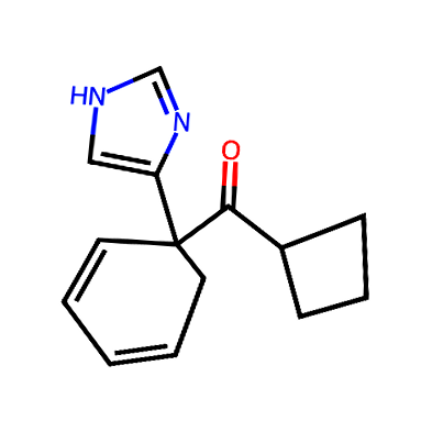 O=C(C1CCC1)C1(c2c[nH]cn2)C=CC=CC1